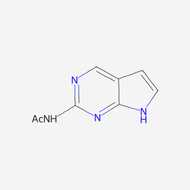 CC(=O)Nc1ncc2cc[nH]c2n1